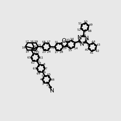 N#Cc1ccc(-c2ccc(-c3ccc(C45CC6CC(C4)CC(c4ccc(-c7ccc8c(c7)oc7cc(-c9nc(-c%10ccccc%10)nc(-c%10ccccc%10)n9)ccc78)cc4)(C6)C5)cc3)cc2)cc1